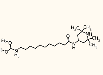 CCOC(OCC)[SiH2]CCCCCCCCCCC(=O)NC1CC(C)(C)NC(C)(C)C1